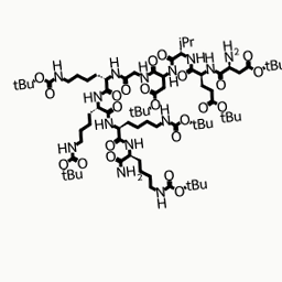 CC(C)[C@H](NC(=O)[C@H](CCC(=O)OC(C)(C)C)NC(=O)[C@@H](N)CC(=O)OC(C)(C)C)C(=O)NC(CC(=O)OC(C)(C)C)C(=O)NCC(=O)N[C@@H](CCCCNC(=O)OC(C)(C)C)C(=O)N[C@@H](CCCCNC(=O)OC(C)(C)C)C(=O)N[C@@H](CCCCNC(=O)OC(C)(C)C)C(=O)N[C@@H](CCCCNC(=O)OC(C)(C)C)C(N)=O